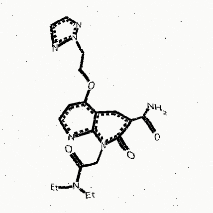 CCN(CC)C(=O)Cn1c(=O)c(C(N)=O)cc2c(OCCn3nccn3)ccnc21